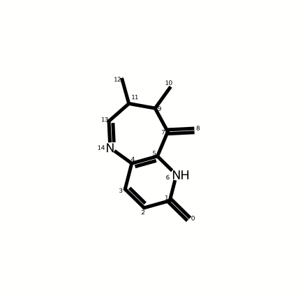 C=C1C=CC2=C(N1)C(=C)C(C)C(C)C=N2